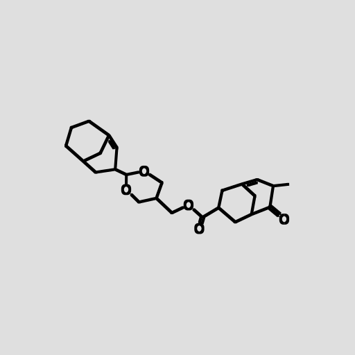 CC1C=C2CC(C(=O)OCC3COC(C4C=C5CCCC(C5)C4)OC3)CC(C2)C1=O